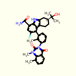 Cc1c(-c2c(F)cc(C(N)=O)c3[nH]c4c(c23)CC[C@H](C(C)(C)O)C4)cccc1-n1c(=O)c2cccc(C)c2n(C)c1=O